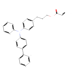 C=CC(=O)OCCCc1ccc(N(c2ccccc2)c2ccc(-c3ccccc3)cc2)cc1